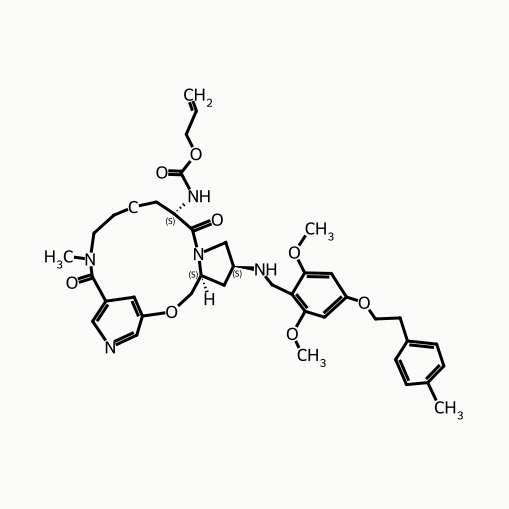 C=CCOC(=O)N[C@H]1CCCCN(C)C(=O)c2cncc(c2)OC[C@@H]2C[C@H](NCc3c(OC)cc(OCCc4ccc(C)cc4)cc3OC)CN2C1=O